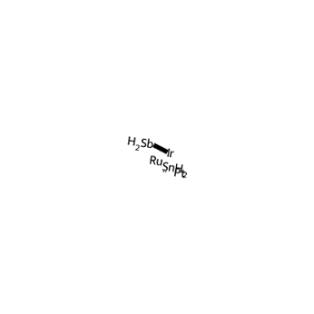 [Pt].[Ru].[SbH2][Ir].[SnH2]